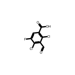 O=Cc1c(Cl)c(F)cc(C(=O)O)c1Cl